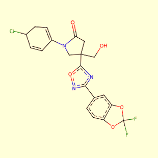 O=C1CC(CO)(c2nc(-c3ccc4c(c3)OC(F)(F)O4)no2)CN1C1=CCC(Cl)C=C1